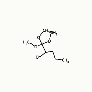 CCCC(Br)C(OC)(OC)O[SiH3]